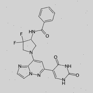 O=C(NC1CN(c2cc(-c3c[nH]c(=O)[nH]c3=O)nn3ccnc23)CC1(F)F)c1ccccc1